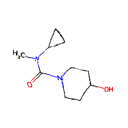 CN(C(=O)N1CCC(O)CC1)C1CC1